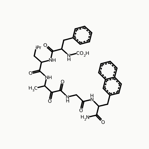 CC(C)CC(NC(=O)C(Cc1ccccc1)NC(=O)O)C(=O)NC(C)C(=O)C(=O)NCC(=O)NC(Cc1ccc2ccccc2c1)C(N)=O